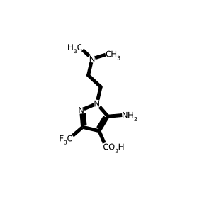 CN(C)CCn1nc(C(F)(F)F)c(C(=O)O)c1N